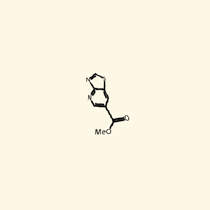 COC(=O)c1cnc2ncsc2c1